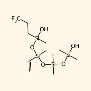 C=C[Si](C)(O[Si](C)(O)CCC(F)(F)F)O[Si](C)(C)O[Si](C)(C)O